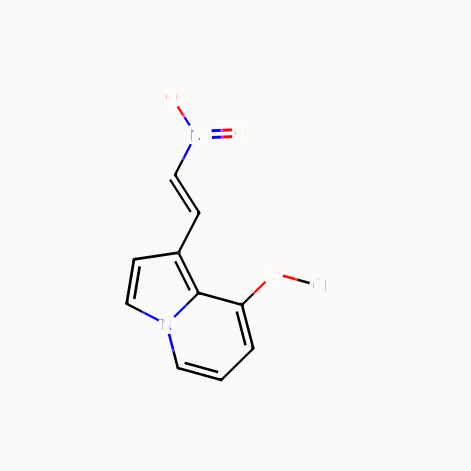 COc1cccn2ccc(/C=C/[N+](=O)[O-])c12